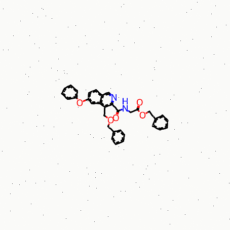 O=C(CNC(=O)c1ncc2ccc(Oc3ccccc3)cc2c1COCc1ccccc1)OCc1ccccc1